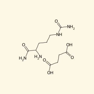 NC(=O)NCCCC(N)C(N)=O.O=C(O)CCC(=O)O